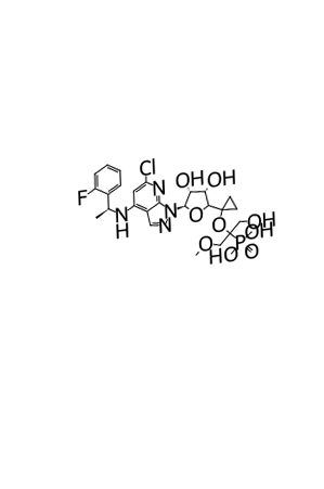 COCC(CO)(OC1(C2O[C@@H](n3ncc4c(N[C@@H](C)c5ccccc5F)cc(Cl)nc43)[C@H](O)[C@@H]2O)CC1)P(=O)(O)O